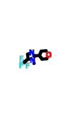 CN1C(C2CCOCC2)=NCC1C(F)(F)F